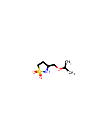 CC(C)OCC1CCS(=O)(=O)N1